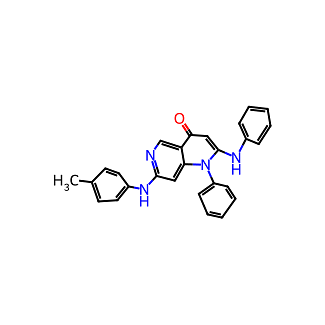 Cc1ccc(Nc2cc3c(cn2)c(=O)cc(Nc2ccccc2)n3-c2ccccc2)cc1